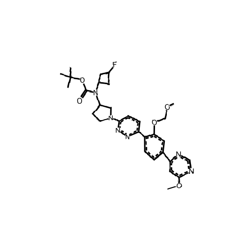 COCOc1cc(-c2cc(OC)ncn2)ccc1-c1ccc(N2CCC(N(C(=O)OC(C)(C)C)C3CC(F)C3)C2)nn1